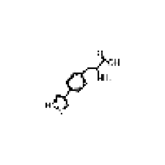 NC(Cc1ccc(-c2cn[nH]c2)cc1)C(=O)O